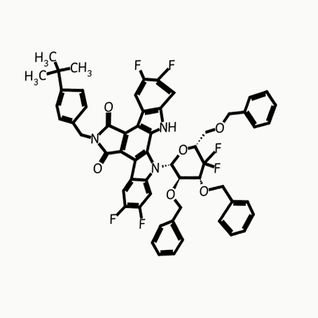 CC(C)(C)c1ccc(CN2C(=O)c3c(c4c5cc(F)c(F)cc5n([C@@H]5O[C@H](COCc6ccccc6)C(F)(F)[C@H](OCc6ccccc6)[C@H]5OCc5ccccc5)c4c4[nH]c5cc(F)c(F)cc5c34)C2=O)cc1